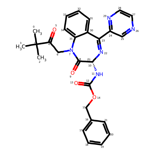 CC(C)(C)C(=O)CN1C(=O)[C@@H](NC(=O)OCc2ccccc2)N=C(c2cnccn2)c2ccccc21